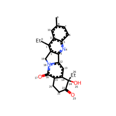 CCc1c2c(nc3ccc(C)cc13)-c1cc3c(c(=O)n1C2)CCC(=O)[C@]3(O)CC